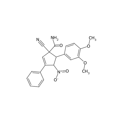 COc1ccc(C2C([N+](=O)[O-])C(c3ccccc3)=CC2(C#N)C(N)=O)cc1OC